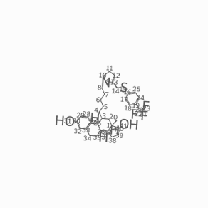 C[C@]12C[C@H](CCCCCN3CCC[C@H]3CSc3ccc(C(F)(F)F)cc3)[C@@H]3c4ccc(O)cc4CC[C@H]3[C@@H]1CC[C@@H]2O